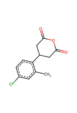 Cc1cc(Cl)ccc1C1CC(=O)OC(=O)C1